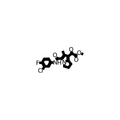 COC(=O)C(=O)c1c(C)c(C(=O)Nc2ccc(F)c(Cl)c2)n2c1CCC2